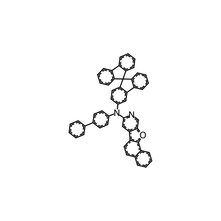 c1ccc(-c2ccc(N(c3ccc4c(c3)-c3ccccc3C43c4ccccc4-c4ccccc43)c3cc4c(cn3)oc3c5ccccc5ccc43)cc2)cc1